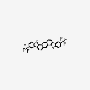 FC(F)(F)c1ccc2sc3c4cc5ccc6c7cc(C(F)(F)F)ccc7sc6c5cc4ccc3c2c1